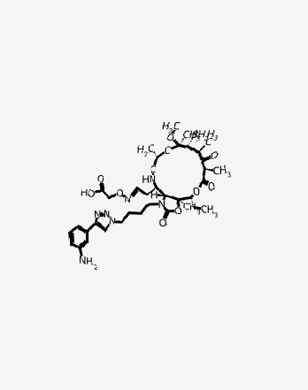 B[C@@H]1[C@@H](C)C(=O)[C@@H](C)C(=O)O[C@H](CC)[C@@]2(C)OC(=O)N(CCCCn3cc(-c4cccc(N)c4)nn3)[C@@H]2[C@@H](C/C=N/OCC(=O)O)NC[C@H](C)C[C@@]1(C)OC